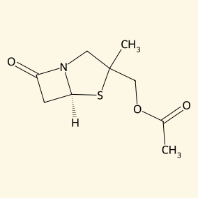 CC(=O)OCC1(C)CN2C(=O)C[C@@H]2S1